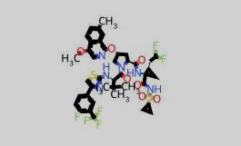 COc1cnc(O[C@@H]2C[C@@H](C(=O)N[C@]3(C(=O)NS(=O)(=O)C4CC4)C[C@H]3CC(F)F)N(C(=O)[C@@H](Nc3nc(-c4ccc(F)c(C(F)(F)F)c4)cs3)C(C)(C)C)C2)c2cc(C)ccc12